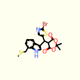 CSCc1cccc2c(C(c3cnc(Br)s3)C3C(=O)OC(C)(C)OC3=O)c[nH]c12